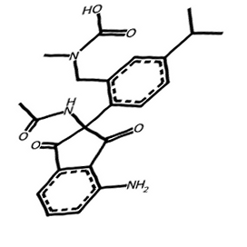 CC(=O)NC1(c2ccc(C(C)C)cc2CN(C)C(=O)O)C(=O)c2cccc(N)c2C1=O